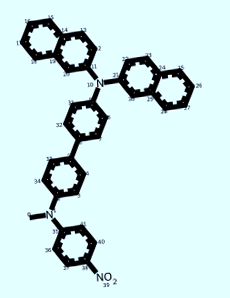 CN(c1ccc(-c2ccc(N(c3ccc4ccccc4c3)c3ccc4ccccc4c3)cc2)cc1)c1ccc([N+](=O)[O-])cc1